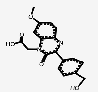 COc1ccc2nc(-c3ccc(CO)cc3)c(=O)n(CC(=O)O)c2c1